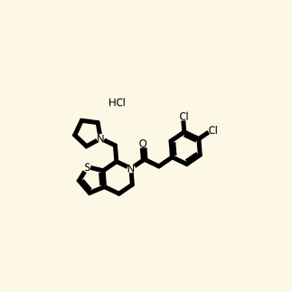 Cl.O=C(Cc1ccc(Cl)c(Cl)c1)N1CCc2ccsc2C1CN1CCCC1